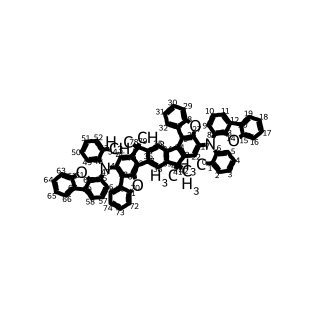 Cc1ccccc1N(c1cccc2c1oc1ccccc12)c1cc2c(c3c1oc1ccccc13)-c1cc3c(cc1C2(C)C)-c1c(cc(N(c2ccccc2C)c2cccc4c2oc2ccccc24)c2c1oc1ccccc12)C3(C)C